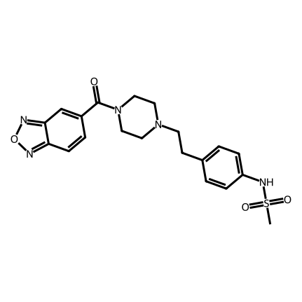 CS(=O)(=O)Nc1ccc(CCN2CCN(C(=O)c3ccc4nonc4c3)CC2)cc1